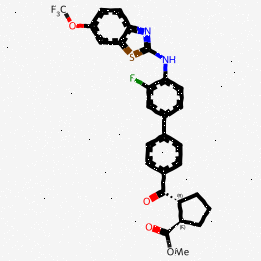 COC(=O)[C@@H]1CCC[C@H]1C(=O)c1ccc(-c2ccc(Nc3nc4ccc(OC(F)(F)F)cc4s3)c(F)c2)cc1